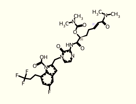 CN(C)C(=O)/C=C/CC[C@H](OC(=O)N(C)C)C(=O)Nc1nccn(Cc2cc3cc(F)cc(CCC(F)(F)F)c3n2C(=O)O)c1=O